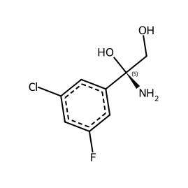 N[C@@](O)(CO)c1cc(F)cc(Cl)c1